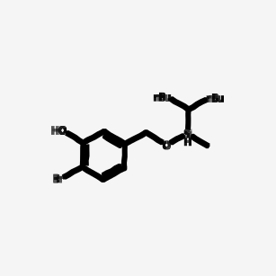 CCCCC(CCCC)[SiH](C)OCc1ccc(Br)c(O)c1